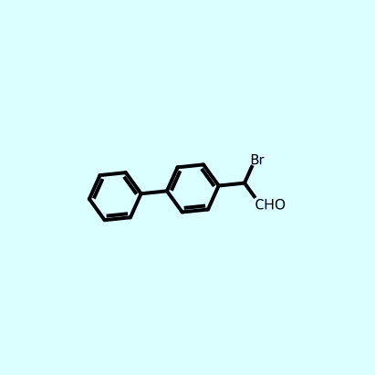 O=CC(Br)c1ccc(-c2ccccc2)cc1